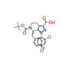 CC(C)(C)OC(=O)N1CCc2c(C(=O)O)nn(-c3ccc(Cl)cc3Cl)c2/C1=C\c1ccc(F)cc1